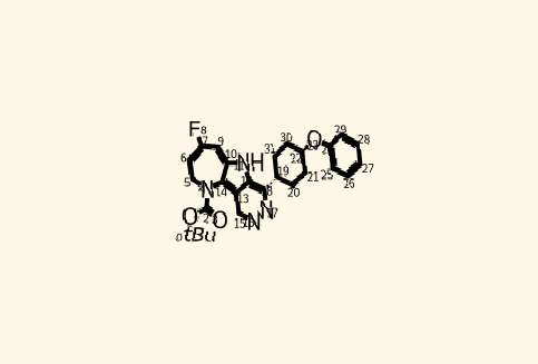 CC(C)(C)OC(=O)N1CC=C(F)C=c2[nH]c3c(c21)CN=NC=3[C@H]1CC[C@H](Oc2ccccc2)CC1